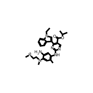 CCn1cc(-c2nc(Nc3cc(N)c(N(C)CCN(C)C)cc3C)ncc2C(=O)OC(C)C)c2ccccc21